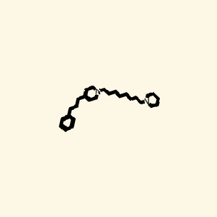 c1ccc(CCCC2CCN(CCCCCCCCN3CCCCC3)CC2)cc1